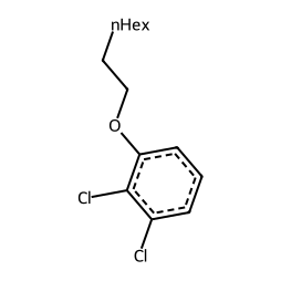 [CH2]CCCCCCCOc1cccc(Cl)c1Cl